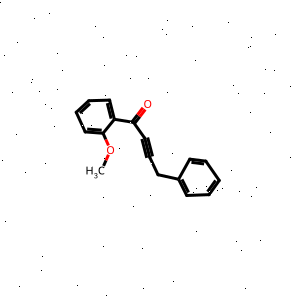 COc1ccccc1C(=O)C#CCc1ccccc1